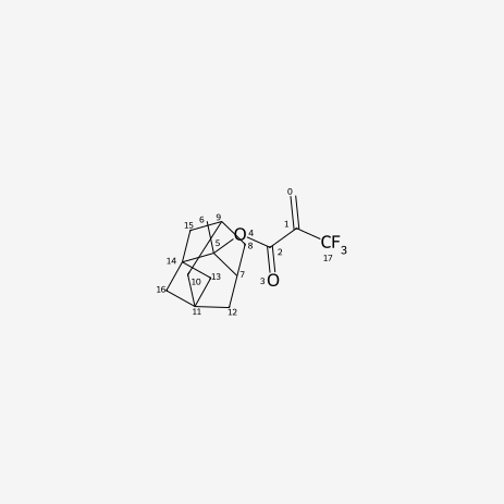 C=C(C(=O)OC1(C)C2CC3CC4(C2)CC1(C3)C4)C(F)(F)F